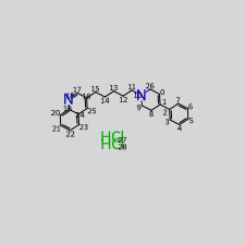 C1=C(c2ccccc2)CCN(CCCCCc2cnc3ccccc3c2)C1.Cl.Cl